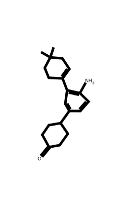 CC1(C)CC=C(c2cc(C3CCC(=O)CC3)ccc2N)CC1